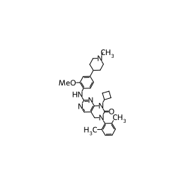 COc1cc(C2CCN(C)CC2)ccc1Nc1ncc2c(n1)N(C1CCC1)C(=O)N(c1c(C)cccc1C)C2